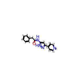 O=C(Cc1ccccc1)Nc1cc(-c2ccncc2)n[nH]1